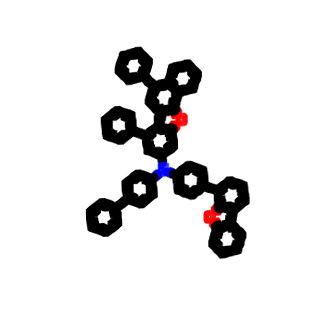 c1ccc(-c2ccc(N(c3ccc(-c4cccc5c4oc4ccccc45)cc3)c3cc(-c4ccccc4)c4c(c3)oc3c5ccccc5c(-c5ccccc5)cc34)cc2)cc1